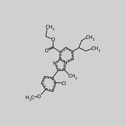 CCOC(=O)c1cc(C(CC)CC)cn2c(C)c(-c3ccc(OC)cc3Cl)nc12